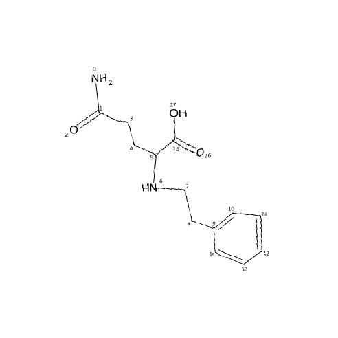 NC(=O)CCC(NCCc1ccccc1)C(=O)O